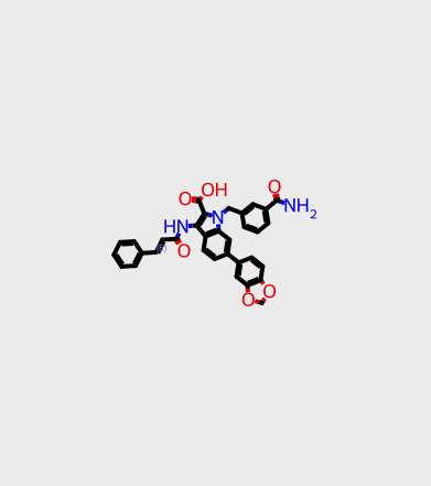 NC(=O)c1cccc(Cn2c(C(=O)O)c(NC(=O)/C=C/c3ccccc3)c3ccc(-c4ccc5c(c4)OCO5)cc32)c1